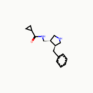 O=C(NC[C@@H]1CNC[C@H]1Cc1ccccc1)C1CC1